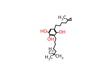 CC(C)(C)CCCCCc1c(O)c(O)cc(CCCCC2(C)CC2)c1O